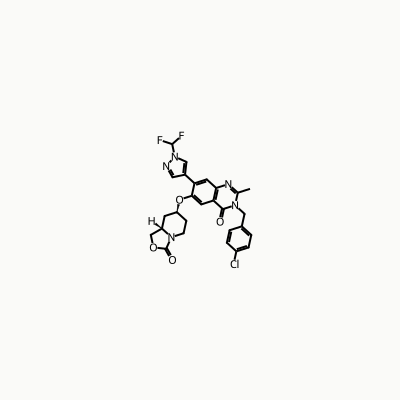 Cc1nc2cc(-c3cnn(C(F)F)c3)c(O[C@H]3CCN4C(=O)OC[C@@H]4C3)cc2c(=O)n1Cc1ccc(Cl)cc1